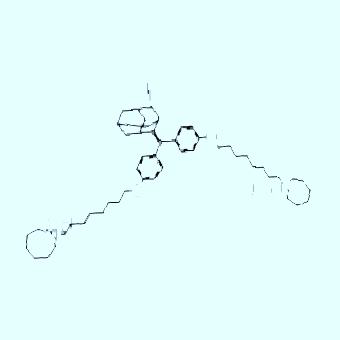 C[N+]1(CCCCCCCCOc2ccc(C(=C3C4CC5CC(C4)CC3C5)c3ccc(OCCCCCCCC[N+]4(C)CCCCCC4)cc3)cc2)CCCCCC1.[I-].[I-]